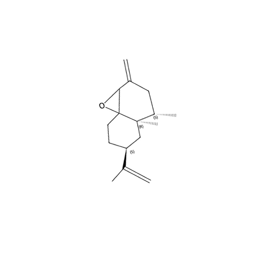 C=C1C[C@H](C)[C@@]2(C)C[C@@H](C(=C)C)CCC23OC13